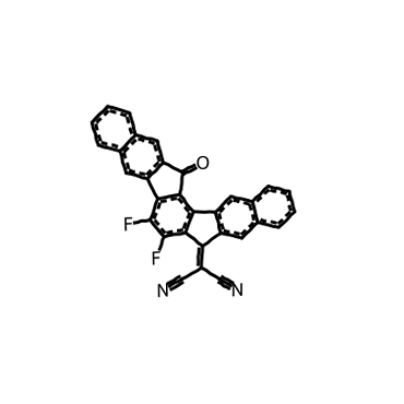 N#CC(C#N)=C1c2cc3ccccc3cc2-c2c1c(F)c(F)c1c2C(=O)c2cc3ccccc3cc2-1